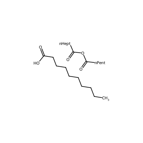 CCCCCCCC(=O)OC(=O)CCCCC.CCCCCCCCCC(=O)O